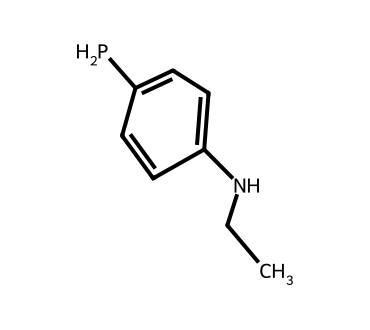 CCNc1ccc(P)cc1